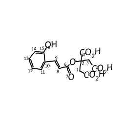 O=C(O)CC(CC(=O)O)(OC(=O)C=Cc1ccccc1O)C(=O)O